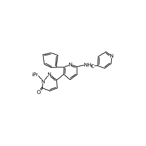 CC(C)n1nc(-c2ccc(NCc3ccncc3)nc2-c2ccccc2)ccc1=O